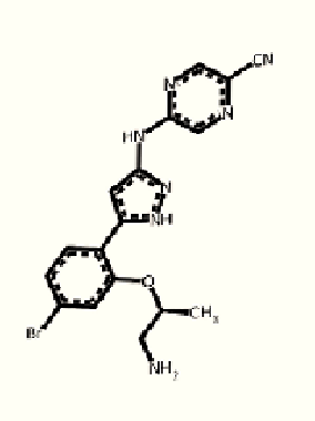 C[C@@H](CN)Oc1cc(Br)ccc1-c1cc(Nc2cnc(C#N)cn2)n[nH]1